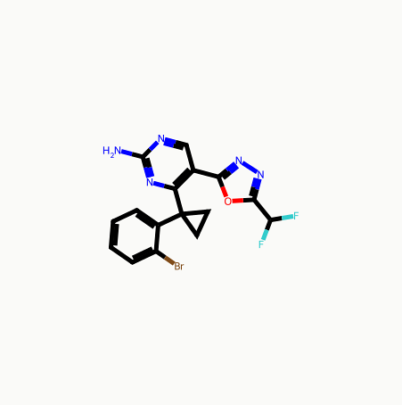 Nc1ncc(-c2nnc(C(F)F)o2)c(C2(c3ccccc3Br)CC2)n1